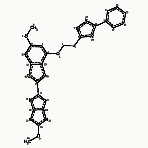 COc1cc(OCCc2csc(-c3ccccc3)n2)c2cc(-c3cn4nc(OC)sc4n3)oc2c1